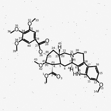 COC(=O)[C@H]1C2C[C@@H]3c4[nH]c5cc(OC)ccc5c4CCN3C[C@H]2C[C@@H](OC(=O)c2cc(OC)c(OC)c(OC)c2)[C@@H]1OC